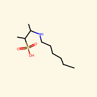 CCCCCCNC(C)C(C)S(=O)(=O)O